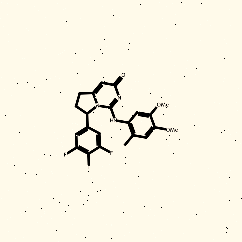 COc1cc(C)c(Nc2nc(=O)cc3n2C(c2cc(F)c(F)c(F)c2)CC3)cc1OC